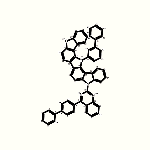 c1ccc(-c2ccc(-c3nc(-n4c5ccccc5c5c4ccc4c6ccc7oc8ccccc8c7c6n(-c6cccc(-c7ccccc7)c6)c45)nc4ccccc34)cc2)cc1